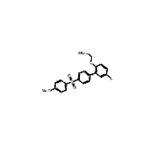 COc1ccc(S(=O)(=O)c2ccc(-c3cc(Cl)ccc3OCC(=O)O)cc2)cc1